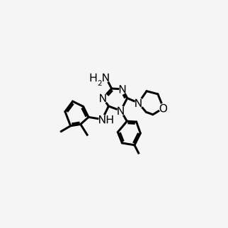 Cc1ccc(N2C(N3CCOCC3)=NC(N)=NC2Nc2cccc(C)c2C)cc1